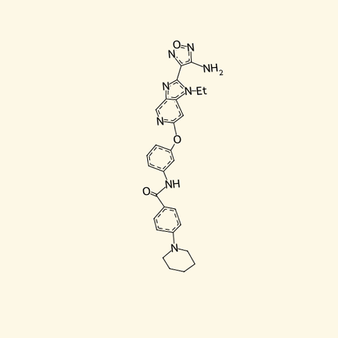 CCn1c(-c2nonc2N)nc2cnc(Oc3cccc(NC(=O)c4ccc(N5CCCCC5)cc4)c3)cc21